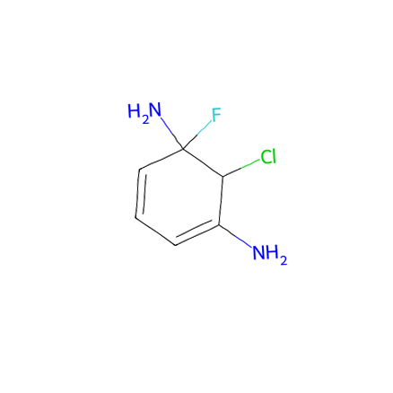 NC1=CC=CC(N)(F)C1Cl